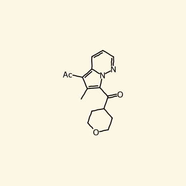 CC(=O)c1c(C)c(C(=O)C2CCOCC2)n2ncccc12